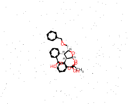 CC(=O)O[C@@H]1O[C@@H](COCc2ccccc2)[C@@H](c2ccccc2C(=O)O)[C@@H]1c1ccccc1C(=O)O